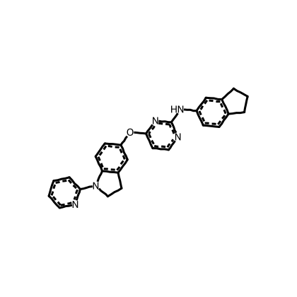 c1ccc(N2CCc3cc(Oc4ccnc(Nc5ccc6c(c5)CCC6)n4)ccc32)nc1